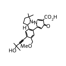 COCc1cc2c(cc1C#CC(C)(C)O)[C@H]1CCC(C)(C)N1n1cc(C(=O)O)c(=O)cc1-2